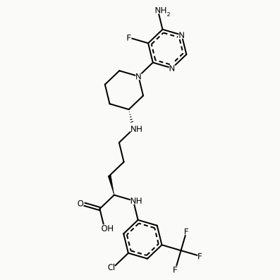 Nc1ncnc(N2CCC[C@@H](NCCC[C@@H](Nc3cc(Cl)cc(C(F)(F)F)c3)C(=O)O)C2)c1F